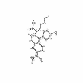 CCCCOC(C(=O)O)c1c(C)cc2nc(C(=O)NC)ccc2c1-c1ccc(Cl)cc1